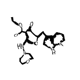 CCOC(=O)C1=C(NN2CCOCC2)O/C(=C\c2c[nH]c3ncccc23)C1=O